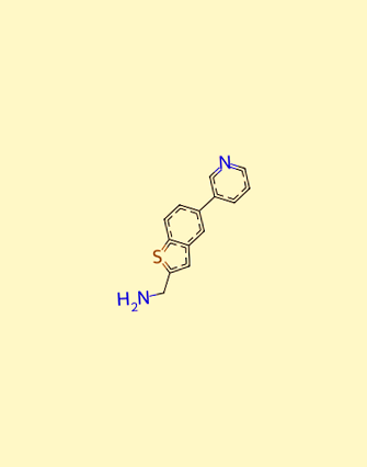 NCc1cc2cc(-c3cccnc3)ccc2s1